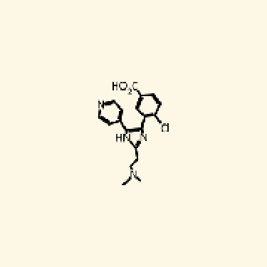 CN(C)CCc1nc(-c2cc(C(=O)O)ccc2Cl)c(-c2ccncc2)[nH]1